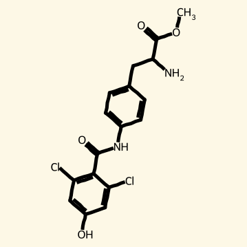 COC(=O)C(N)Cc1ccc(NC(=O)c2c(Cl)cc(O)cc2Cl)cc1